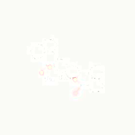 CC(C)(C)OC(=O)c1cccc2cccc(-c3ccc4ccc(-c5cccc6cccc(C(=O)OC(C)(C)C)c56)cc4c3)c12